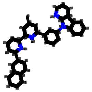 Cc1cc(-c2cccc(-n3c4ccccc4c4cccnc43)c2)nc(-c2cccc(-c3ccc4ccccc4c3)n2)c1